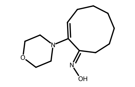 O/N=C1CCCCCC/C=C\1N1CCOCC1